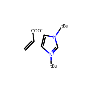 C=CC(=O)[O-].CC(C)(C)n1cc[n+](C(C)(C)C)c1